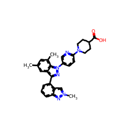 Cc1cc(C)c2c(c1)c(-c1cccc3nn(C)cc13)nn2-c1ccc(N2CCC(C(=O)O)CC2)nc1